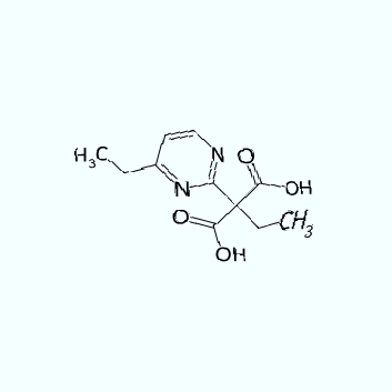 CCc1ccnc(C(CC)(C(=O)O)C(=O)O)n1